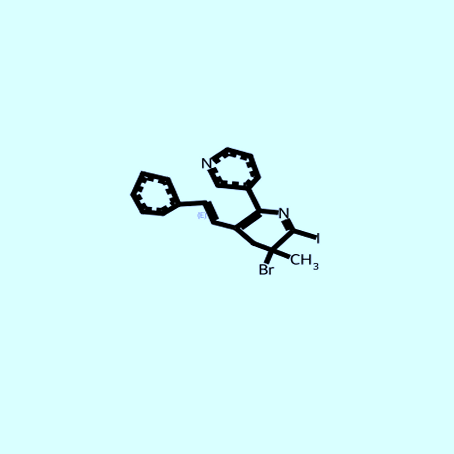 CC1(Br)CC(/C=C/c2ccccc2)=C(c2cccnc2)N=C1I